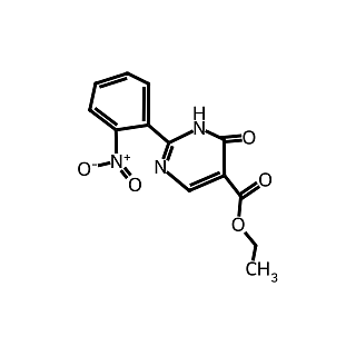 CCOC(=O)c1cnc(-c2ccccc2[N+](=O)[O-])[nH]c1=O